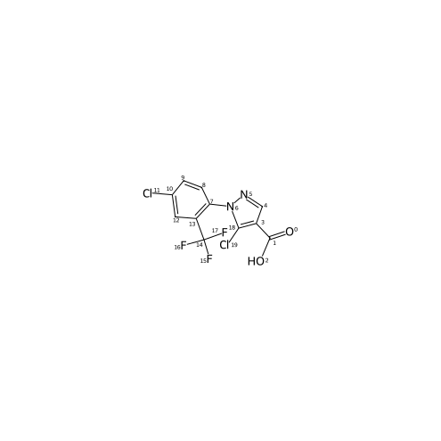 O=C(O)c1cnn(-c2ccc(Cl)cc2C(F)(F)F)c1Cl